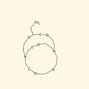 CCC1COCCN2CCOCCOCCN(CCOCC2)CCO1